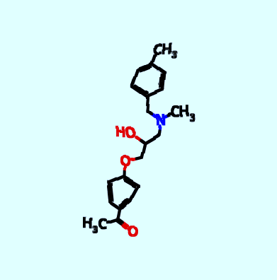 CC(=O)c1ccc(OCC(O)CN(C)Cc2ccc(C)cc2)cc1